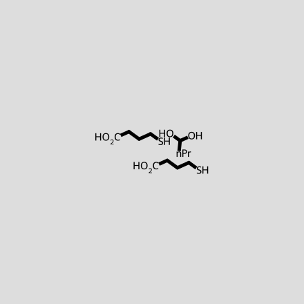 CCCC(O)O.O=C(O)CCCS.O=C(O)CCCS